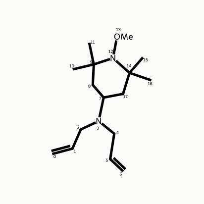 C=CCN(CC=C)C1CC(C)(C)N(OC)C(C)(C)C1